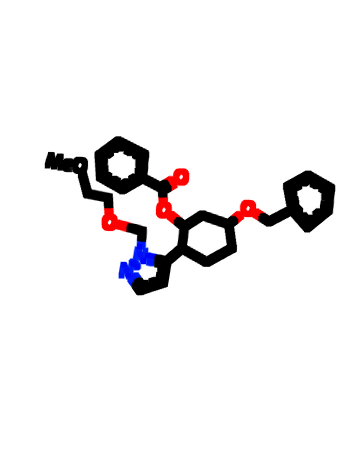 COCCOCn1nccc1C1CCC(OCc2ccccc2)CC1OC(=O)c1ccccc1